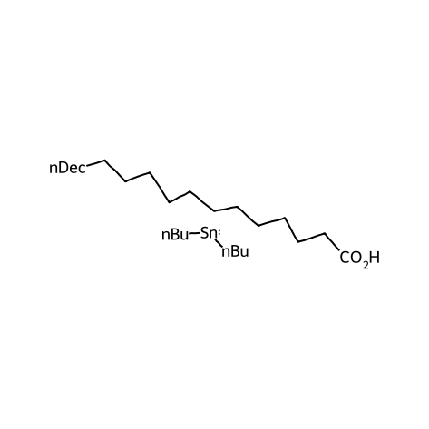 CCCCCCCCCCCCCCCCCCCCCC(=O)O.CCC[CH2][Sn][CH2]CCC